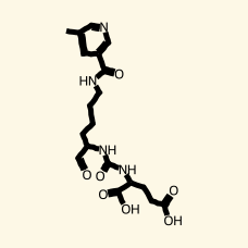 Cc1cncc(C(=O)NCCCCC(C=O)NC(=O)NC(CCC(=O)O)C(=O)O)c1